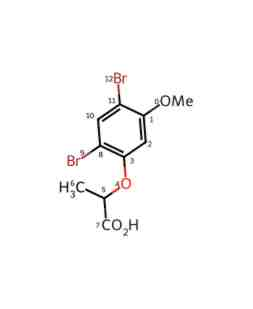 COc1cc(OC(C)C(=O)O)c(Br)cc1Br